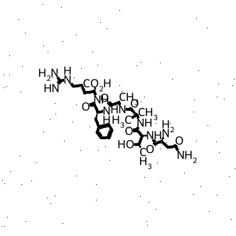 C[C@H](NC(=O)C(C)(C)NC(=O)[C@@H](NC(=O)[C@@H](N)CC(N)=O)[C@@H](C)O)C(=O)N[C@@H](Cc1ccccc1)C(=O)N[C@@H](CCCNC(=N)N)C(=O)O